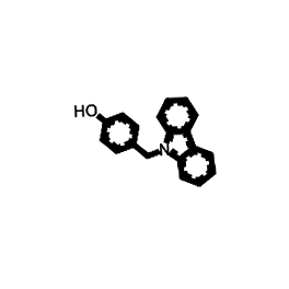 Oc1ccc(Cn2c3ccccc3c3ccccc32)cc1